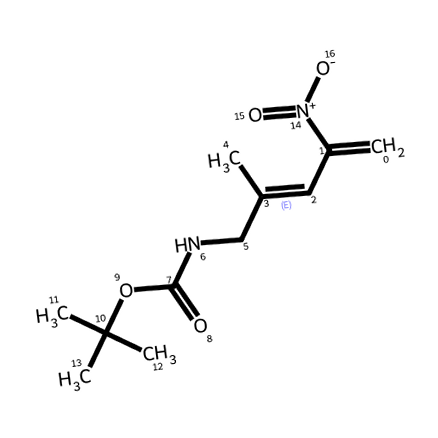 C=C(/C=C(\C)CNC(=O)OC(C)(C)C)[N+](=O)[O-]